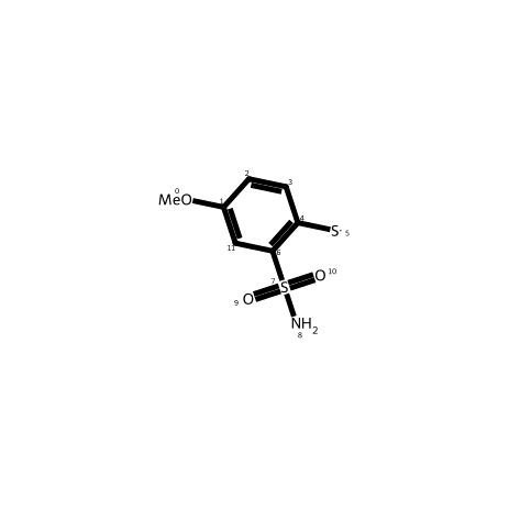 COc1ccc([S])c(S(N)(=O)=O)c1